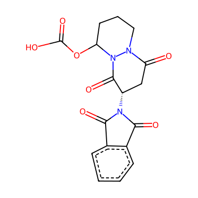 O=C(O)OC1CCCN2C(=O)C[C@H](N3C(=O)c4ccccc4C3=O)C(=O)N12